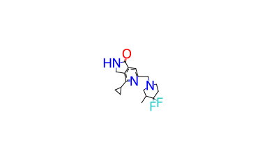 CC1CN(Cc2cc3c(c(C4CC4)n2)CNC3=O)CCC1(F)F